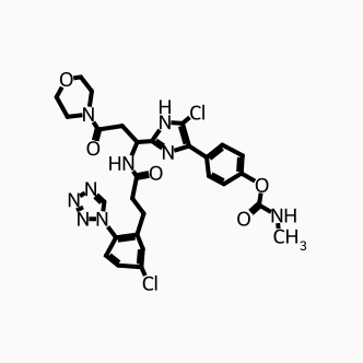 CNC(=O)Oc1ccc(-c2nc(C(CC(=O)N3CCOCC3)NC(=O)CCc3cc(Cl)ccc3-n3cnnn3)[nH]c2Cl)cc1